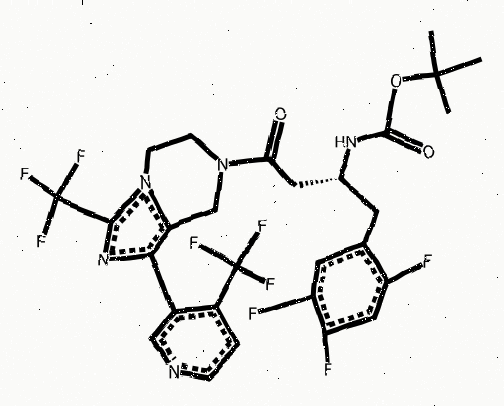 CC(C)(C)OC(=O)N[C@@H](CC(=O)N1CCn2c(C(F)(F)F)nc(-c3cnccc3C(F)(F)F)c2C1)Cc1cc(F)c(F)cc1F